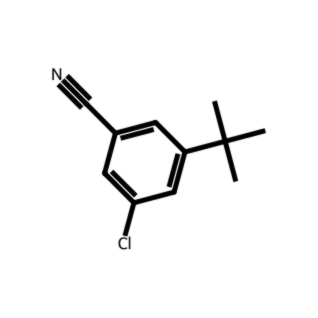 CC(C)(C)c1cc(Cl)cc(C#N)c1